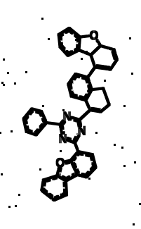 C1=CC2Oc3ccccc3C2C(c2cccc3c2CCC=C3c2nc(-c3ccccc3)nc(-c3cccc4c3oc3ccccc34)n2)=C1